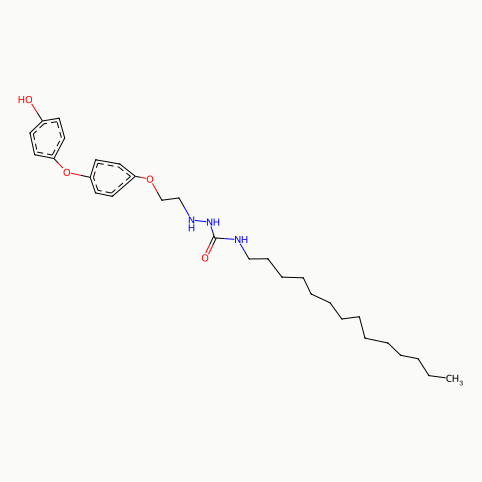 CCCCCCCCCCCCCCNC(=O)NNCCOc1ccc(Oc2ccc(O)cc2)cc1